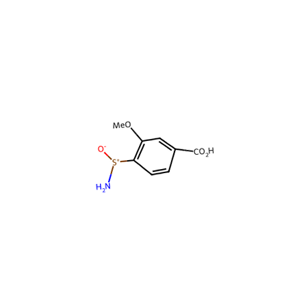 COc1cc(C(=O)O)ccc1[S+](N)[O-]